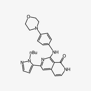 CCCCn1nccc1-c1cc2cc[nH]c(=O)c2c(Nc2ccc(N3CCOCC3)cc2)n1